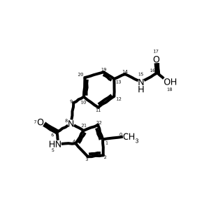 Cc1ccc2[nH]c(=O)n(Cc3ccc(CNC(=O)O)cc3)c2c1